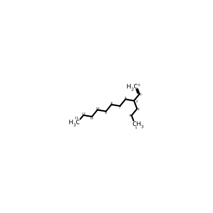 C=CC(CCC)CCCCCCCC